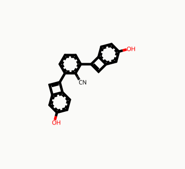 N#Cc1c(C2=Cc3cc(O)ccc32)cccc1C1=Cc2cc(O)ccc21